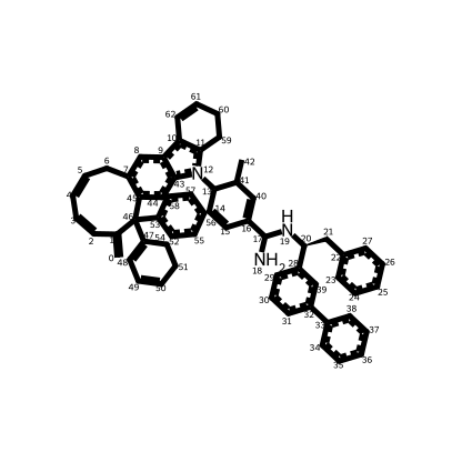 C=C1/C=C\C=C/Cc2cc3c4c(n(C5C=CC(C(N)N[C@@H](Cc6ccccc6)c6cccc(-c7ccccc7)c6)=CC5C)c3cc2C1(C1=CC=CCC1)c1ccccc1)CCC=C4